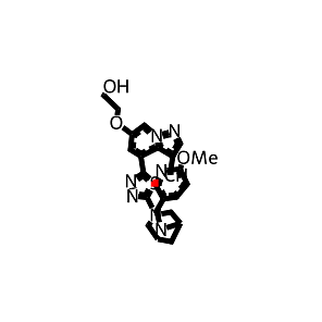 COc1ccc(CN2C3CC2CN(c2nnc(-c4cc(OCCO)cn5ncc(C#N)c45)s2)C3)cn1